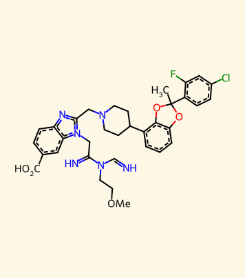 COCCN(C=N)C(=N)Cn1c(CN2CCC(c3cccc4c3OC(C)(c3ccc(Cl)cc3F)O4)CC2)nc2ccc(C(=O)O)cc21